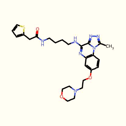 Cc1nnc2c(NCCCCNC(=O)Cc3cccs3)nc3cc(OCCN4CCOCC4)ccc3n12